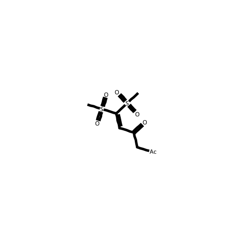 CC(=O)CC(=O)C=C(S(C)(=O)=O)S(C)(=O)=O